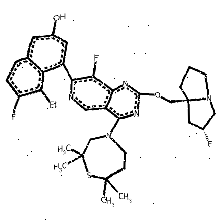 CCc1c(F)ccc2cc(O)cc(-c3ncc4c(N5CCC(C)(C)SC(C)(C)C5)nc(OC[C@@]56CCCN5C[C@H](F)C6)nc4c3F)c12